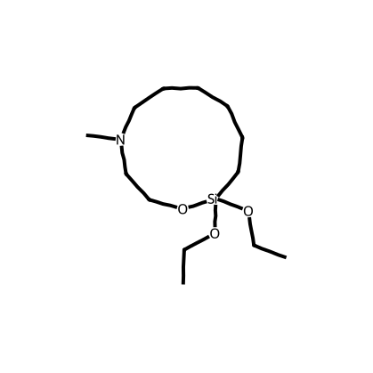 CCO[Si]1(OCC)CCCCCCN(C)CCO1